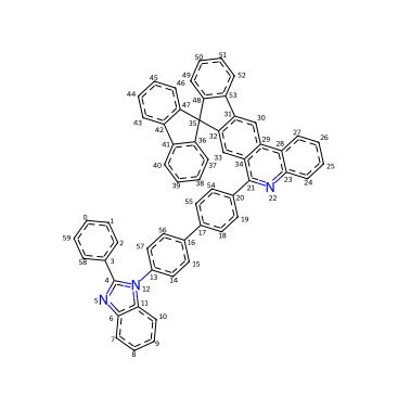 c1ccc(-c2nc3ccccc3n2-c2ccc(-c3ccc(-c4nc5ccccc5c5cc6c(cc45)C4(c5ccccc5-c5ccccc54)c4ccccc4-6)cc3)cc2)cc1